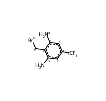 Nc1cc(C(F)(F)F)cc(N)c1CBr